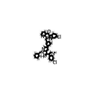 Cn1cc(C(=O)c2cccnc2NCc2ccccc2)c2ccc(Cl)cc21.O=C(c1cccnc1NCc1ccccc1)c1c[nH]c2cc(Cl)ccc12